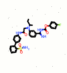 CCC(C)N(CC(=O)Nc1ccc(-c2ccccc2S(N)(=O)=O)cc1)c1cccc(C(=N)NC(=O)Oc2ccc(F)cc2)c1